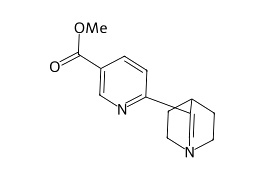 COC(=O)c1ccc(C2=CN3CCC2CC3)nc1